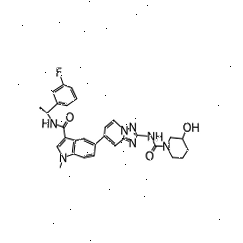 C[C@H](NC(=O)c1cn(C)c2ccc(-c3ccn4nc(NC(=O)N5CCCC(O)C5)nc4c3)cc12)c1cccc(F)c1